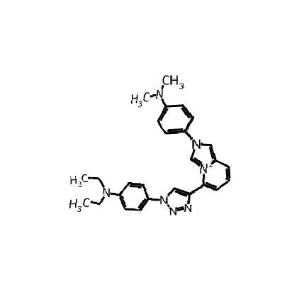 CCN(CC)c1ccc(-n2cc(-c3cccc4cn(-c5ccc(N(C)C)cc5)c[n+]34)nn2)cc1